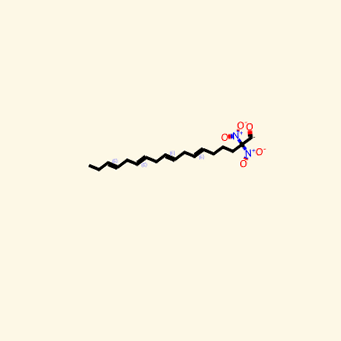 CC/C=C/C/C=C/C/C=C/C/C=C/CCCC([C]=O)([N+](=O)[O-])[N+](=O)[O-]